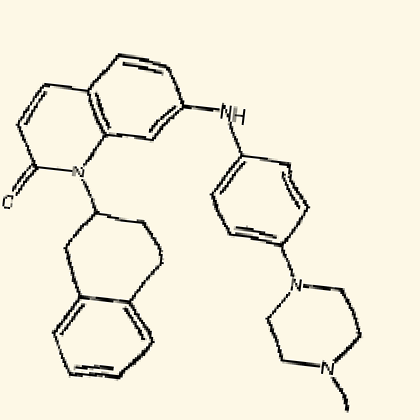 CN1CCN(c2ccc(Nc3ccc4ccc(=O)n(C5CCc6ccccc6C5)c4c3)cc2)CC1